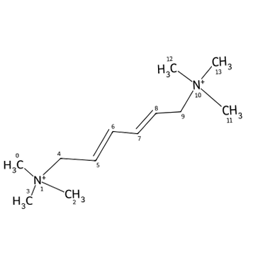 C[N+](C)(C)CC=CC=CC[N+](C)(C)C